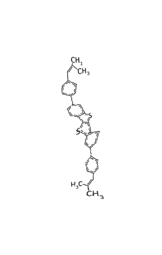 CC(C)=Cc1ccc(-c2ccc3c(c2)sc2c4ccc(-c5ccc(C=C(C)C)cc5)cc4sc32)cc1